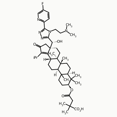 CC(C)C1=C2[C@H]3CC[C@@H]4C5(C)CC[C@H](OC(=O)CC(C)(C)C(=O)O)C(C)(C)[C@@H]5CC[C@@]4(C)[C@]3(C)CC[C@@]2([C@@H](O)c2nnc(-c3ccc(F)cn3)n2CCN(C)C)CC1=O